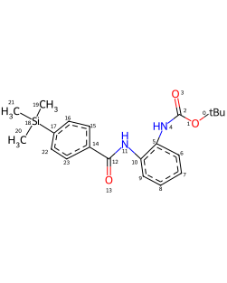 CC(C)(C)OC(=O)Nc1ccccc1NC(=O)c1ccc([Si](C)(C)C)cc1